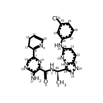 C[C@@H](NC(=O)c1nc(C2=NC=CCC2)cnc1N)c1nnc2ccc(Nc3cccc(Cl)c3)nn12